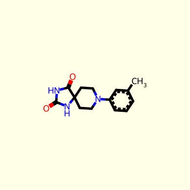 Cc1cccc(N2CCC3(CC2)NC(=O)NC3=O)c1